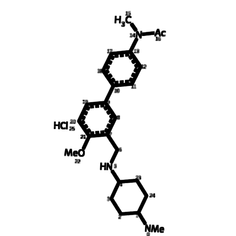 CNC1CCC(NCc2cc(-c3ccc(N(C)C(C)=O)cc3)ccc2OC)CC1.Cl